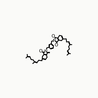 C=C1C2=C(CC(CC/C=C(/C)CCC=C(C)C)=CC2)C(=O)N1Cc1cccc(CN2C(=O)C3=C(CC(CC/C=C(/C)CCC=C(C)C)=CC3)C2=O)c1